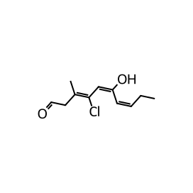 CC\C=C/C(O)=C\C(Cl)=C(/C)CC=O